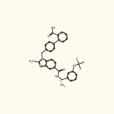 Cc1nc2cc(C(=O)N[C@@H](C)c3cccc(OC(F)(F)F)c3)ccc2n1Cc1ccc(-c2ccccc2C(=O)O)cc1